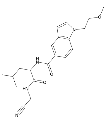 COCCn1ccc2cc(C(=O)NC(CC(C)C)C(=O)NCC#N)ccc21